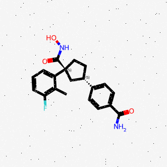 Cc1c(F)cccc1[C@]1(C(=O)NO)CC[C@H](c2ccc(C(N)=O)cc2)C1